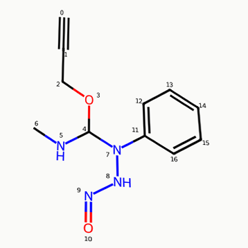 C#CCOC(NC)N(NN=O)c1ccccc1